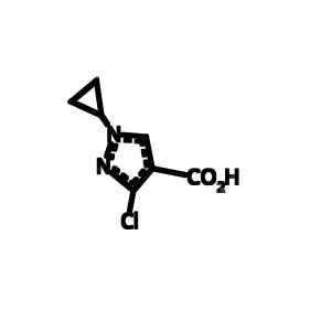 O=C(O)c1cn(C2CC2)nc1Cl